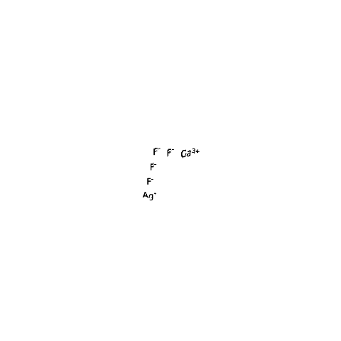 [Ag+].[F-].[F-].[F-].[F-].[Ga+3]